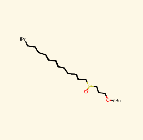 CCCCOCCC[S+]([O-])CCCCCCCCCCCCC(C)C